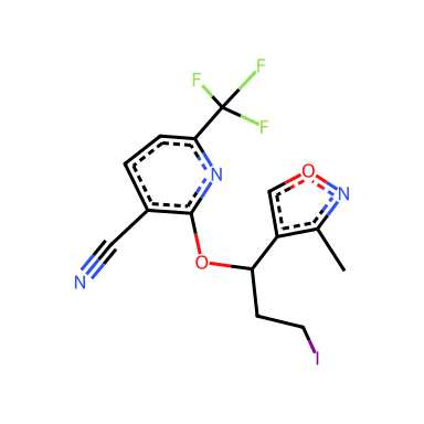 Cc1nocc1C(CCI)Oc1nc(C(F)(F)F)ccc1C#N